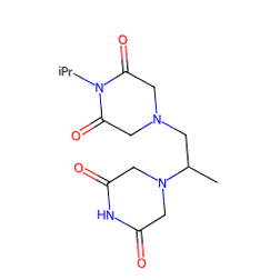 CC(CN1CC(=O)N(C(C)C)C(=O)C1)N1CC(=O)NC(=O)C1